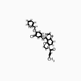 CC#CC(=O)N1CCOc2c1ccc1ncnc(Nc3ccc(OCc4ccccn4)c(Cl)c3)c21